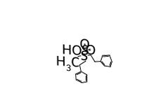 CCS(CCc1ccccc1)(CCc1ccccc1)S(=O)(=O)O